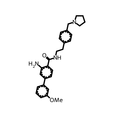 COc1cccc(-c2ccc(C(=O)NCCc3ccc(CN4CCCC4)cc3)c(N)c2)c1